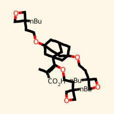 CCCCC1(CCOC(=C(C)C(=O)O)C23CC4CC(OCCC5(CCCC)COC5)(CC(OCCC5(CCCC)COC5)(C4)C2)C3)COC1